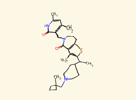 Cc1cc(C)c(CN2CCCc3sc(C(C)C4CCN(CC5(C)CCC5)CC4)c(C)c3C2=O)c(=O)[nH]1